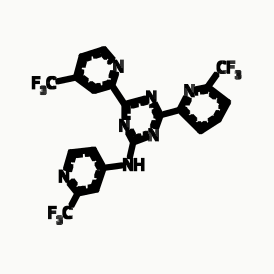 FC(F)(F)c1ccnc(-c2nc(Nc3ccnc(C(F)(F)F)c3)nc(-c3cccc(C(F)(F)F)n3)n2)c1